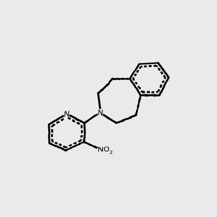 O=[N+]([O-])c1cccnc1N1CCc2ccccc2CC1